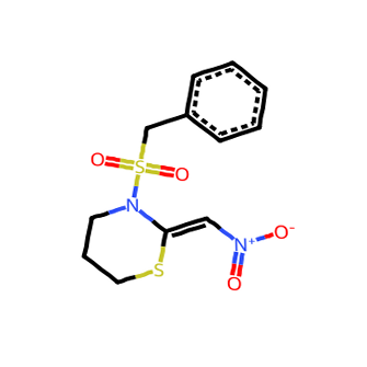 O=[N+]([O-])C=C1SCCCN1S(=O)(=O)Cc1ccccc1